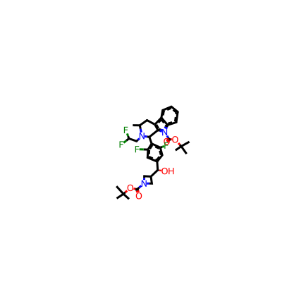 CC1Cc2c(n(C(=O)OC(C)(C)C)c3ccccc23)C(c2c(F)cc([C@@H](O)C3CN(C(=O)OC(C)(C)C)C3)cc2F)N1CC(F)F